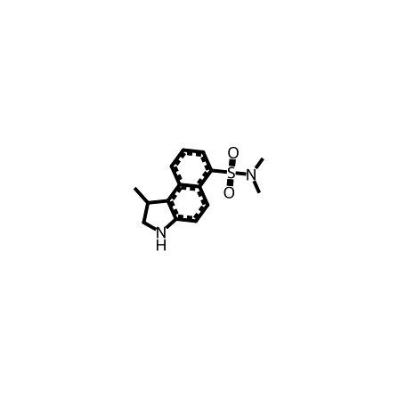 CC1CNc2ccc3c(S(=O)(=O)N(C)C)cccc3c21